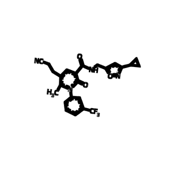 Cc1c(CCC#N)cc(C(=O)NCc2cc(C3CC3)no2)c(=O)n1-c1cccc(C(F)(F)F)c1